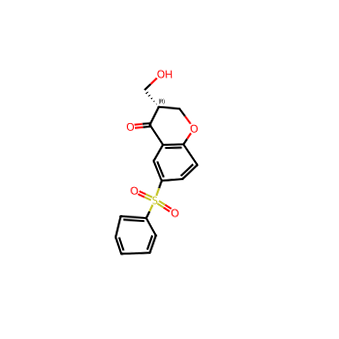 O=C1c2cc(S(=O)(=O)c3ccccc3)ccc2OC[C@H]1CO